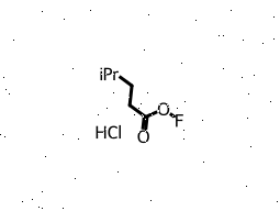 CC(C)CCC(=O)OF.Cl